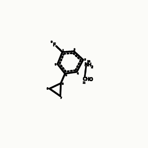 Fc1cccc(C2CC2)c1.NC=O